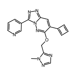 Cn1ncnc1COc1nn2c(-c3cccnc3)nnc2cc1C1=CC=C1